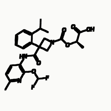 Cc1ccc(NC(=O)C2(c3ccccc3C(C)C)CN(C(=O)O[C@H](C)C(=O)O)C2)c(OC(F)F)n1